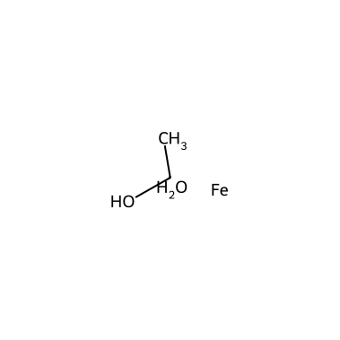 CCO.O.[Fe]